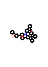 CC1(C)c2ccccc2-c2ccc(N(c3ccc(-c4ccc5oc6ccccc6c5c4)cc3)c3cc4c(cc3-c3ccccc3)-c3ccccc3C4(c3ccccc3)c3ccccc3)cc21